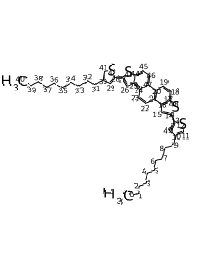 CCCCCCCCCCc1csc(-c2cc3c(ccc4c3ccc3c5cc(-c6cc(CCCCCCCCCC)cs6)sc5ccc34)s2)c1